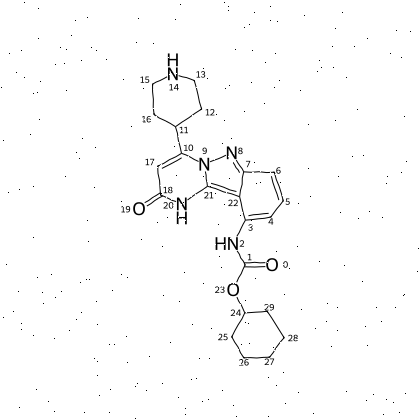 O=C(Nc1cccc2nn3c(C4CCNCC4)cc(=O)[nH]c3c12)OC1CCCCC1